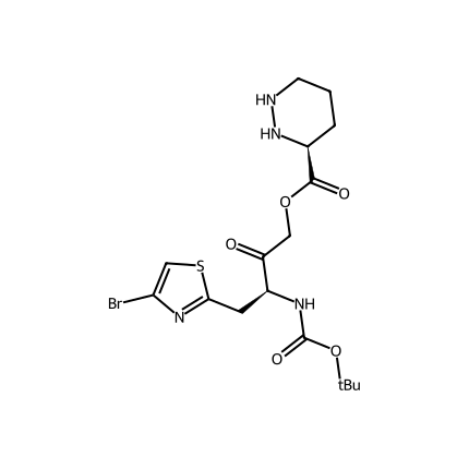 CC(C)(C)OC(=O)N[C@@H](Cc1nc(Br)cs1)C(=O)COC(=O)[C@@H]1CCCNN1